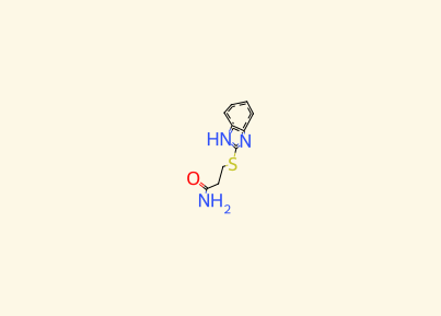 NC(=O)CCSc1nc2ccccc2[nH]1